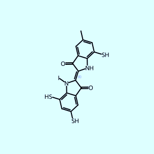 Cc1cc(S)c2c(c1)C(=O)/C(=C1/C(=O)c3cc(S)cc(S)c3N1I)N2